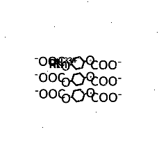 O=C([O-])OC1CCC(OC(=O)[O-])CC1.O=C([O-])OC1CCC(OC(=O)[O-])CC1.O=C([O-])O[C@H]1CC[C@H](OC(=O)[O-])CC1.[Rh+3].[Rh+3]